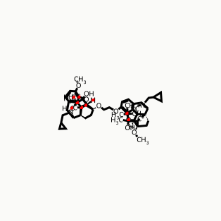 COc1ccc2c3c1O[C@H]1C34CCN(CC3CC3)C(C2)[C@]42CC[C@@]1(OCCOc1ccc3c4c1O[C@H]1[C@]45CCN(CC4CC4)C(C3)[C@]53CC[C@@]1(OC)C(C(C)(O)C(C)(C)C)C3)[C@@H]([C@](C)(O)C(C)(C)C)C2